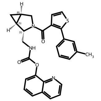 Cc1cccc(-c2sccc2C(=O)N2C[C@@H]3C[C@@H]3[C@H]2CNC(=O)Oc2cccc3cccnc23)c1